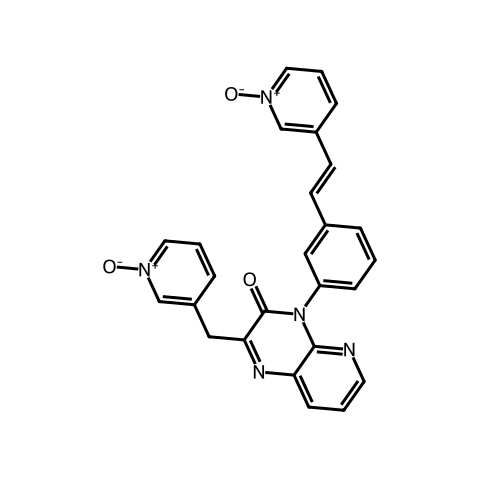 O=c1c(Cc2ccc[n+]([O-])c2)nc2cccnc2n1-c1cccc(C=Cc2ccc[n+]([O-])c2)c1